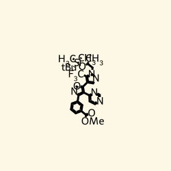 COC(=O)c1cccc(-c2noc(-c3cnn(CC(C)O[Si](C)(C)C(C)(C)C)c3C(F)(F)F)c2-c2ccncn2)c1